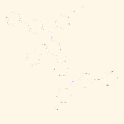 CC(C)(C)c1ccc(N(c2ccc(-c3ccccc3)cc2)c2ccc3c(c2)oc2cc(N(c4ccc(-c5ccccc5)cc4)c4ccc(C(C)(C)C)cc4)c4oc5ccccc5c4c23)cc1